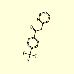 O=C(Cc1ccccn1)c1ccc(C(F)(F)F)cc1